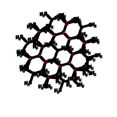 BBB(B(B)B)B(B(B)B)B(B(B(B)B)B(B)B)B(B(B(B(B)B)B(B)B)B(B(B)B)B(B)B)B(B(B(B(B(B)B)B(B)B)B(B(B)B)B(B)B)B(B(B(B)B)B(B)B)B(B(B)B)B(B)B)B(B(B(B(B)B)B(B)B)B(B(B)B)B(B)B)B(B(B(B)B)B(B)B)B(B(B)B)B(B)B